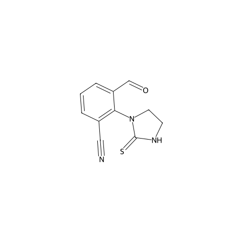 N#Cc1cccc(C=O)c1N1CCNC1=S